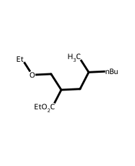 CCCCC(C)CC(COCC)C(=O)OCC